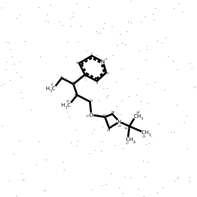 CCC(c1ccncc1)C(C)COC1CN(C(C)(C)C)C1